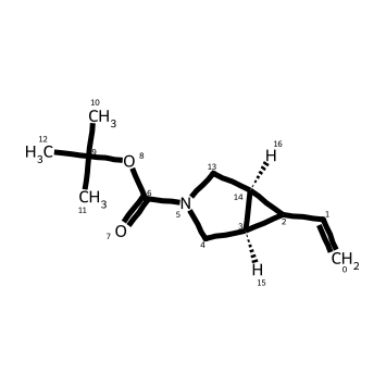 C=CC1[C@H]2CN(C(=O)OC(C)(C)C)C[C@@H]12